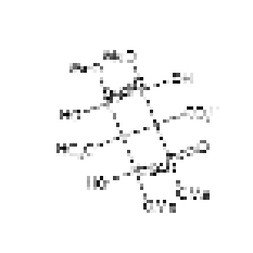 COP(=O)(O)C(C(=O)O)(C(C(=O)O)(P(=O)(O)OC)P(=O)(O)OC)P(=O)(O)OC